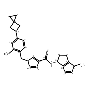 Cc1nc(N2CC3(CC3)C2)ccc1Cn1cc(C(=O)N[C@@H]2CCc3c2ncn3C)nn1